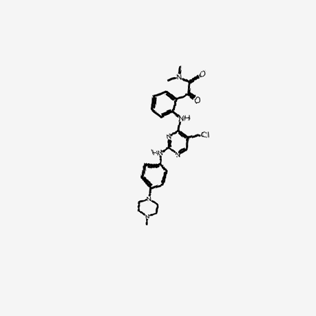 CN1CCN(c2ccc(Nc3ncc(Cl)c(Nc4ccccc4C(=O)C(=O)N(C)C)n3)cc2)CC1